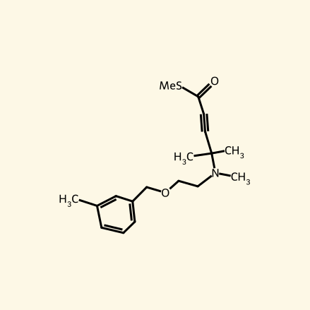 CSC(=O)C#CC(C)(C)N(C)CCOCc1cccc(C)c1